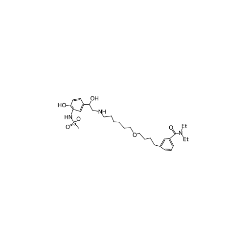 CCN(CC)C(=O)c1cccc(CCCCOCCCCCCNCC(O)c2ccc(O)c(NS(C)(=O)=O)c2)c1